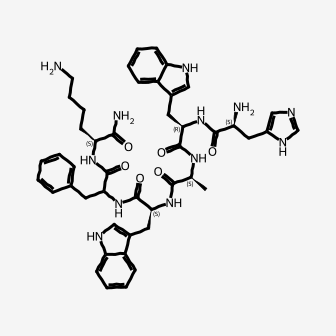 C[C@H](NC(=O)[C@@H](Cc1c[nH]c2ccccc12)NC(=O)[C@@H](N)Cc1cnc[nH]1)C(=O)N[C@@H](Cc1c[nH]c2ccccc12)C(=O)NC(Cc1ccccc1)C(=O)N[C@@H](CCCCN)C(N)=O